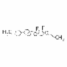 CCCCOc1ccc(OCC2CCC(C3CCC(CC)CC3)CO2)c(F)c1F